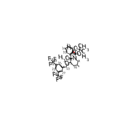 CC(C)(C)OC(=O)N1CCCC(OCc2cc(C(F)(F)F)cc(C(F)(F)F)c2)C1(C)c1ccccc1